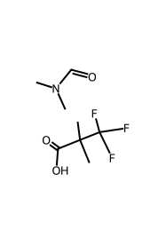 CC(C)(C(=O)O)C(F)(F)F.CN(C)C=O